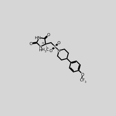 C[C@]1(CS(=O)(=O)N2CCC(c3ccc(OC(F)(F)F)cc3)CC2)NC(=O)NC1=O